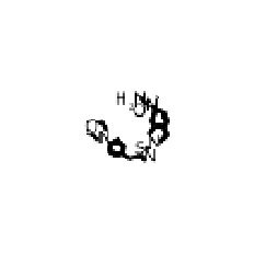 CN(C(N)=O)C1C=CC2=C(C1)CN(c1ncc(Cc3ccc(N4CCOCC4)cc3)s1)CC2